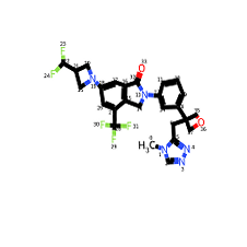 Cn1cnnc1CC1(c2cccc(N3Cc4c(cc(N5CC(C(F)F)C5)cc4C(F)(F)F)C3=O)c2)COC1